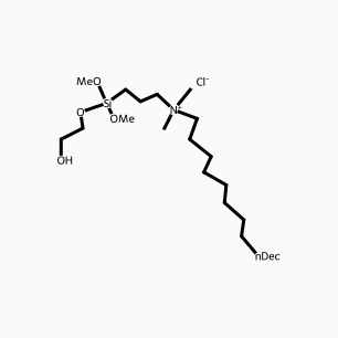 CCCCCCCCCCCCCCCCCC[N+](C)(C)CCC[Si](OC)(OC)OCCO.[Cl-]